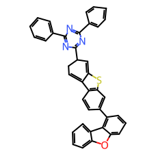 C1=c2sc3cc(-c4cccc5oc6ccccc6c45)ccc3c2=CCC1c1nc(-c2ccccc2)nc(-c2ccccc2)n1